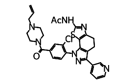 C=CCN1CCN(C(=O)c2ccc(-n3nc(-c4cccnc4)c4c3-c3sc(NC(C)=O)nc3CC4)c(Cl)c2)CC1